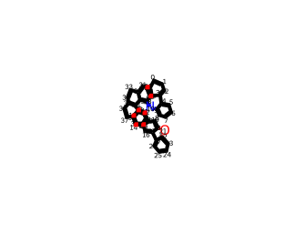 c1ccc(-c2ccccc2N(c2cccc3cc4c(cc23)oc2ccccc24)c2cccc3ccc4ccc5ccccc5c4c23)cc1